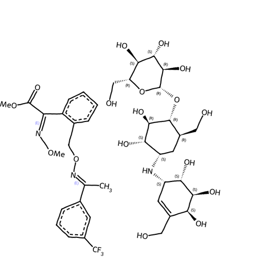 CO/N=C(/C(=O)OC)c1ccccc1CO/N=C(\C)c1cccc(C(F)(F)F)c1.OCC1=C[C@H](N[C@H]2C[C@H](CO)[C@@H](O[C@@H]3O[C@H](CO)[C@@H](O)[C@H](O)[C@H]3O)[C@H](O)[C@H]2O)[C@H](O)[C@@H](O)[C@H]1O